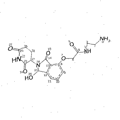 NCCNC(=O)COc1cccc2c1C(=O)N(C1CCC(=O)NC1=O)C2O